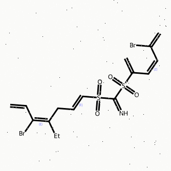 C=C/C(Br)=C(/CC)C/C=C/S(=O)(=O)C(=N)S(=O)(=O)C(=C)/C=C\C(=C)Br